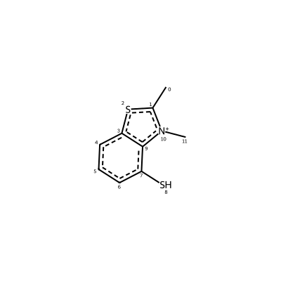 Cc1sc2cccc(S)c2[n+]1C